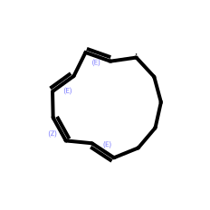 [CH]1/C=C/C=C/C=C\C=C\CCCC1